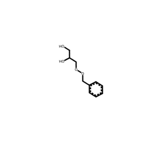 OCC(O)COOCc1ccccc1